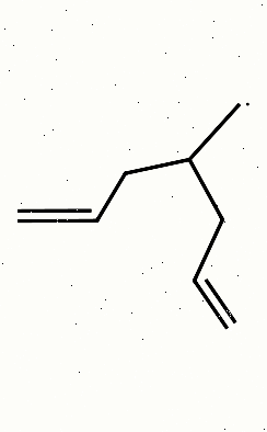 [CH2]C(CC=C)CC=C